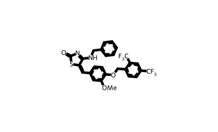 COc1cc(C=C2SC(=O)N=C2NCc2ccccc2)ccc1OCc1ccc(C(F)(F)F)cc1C(F)(F)F